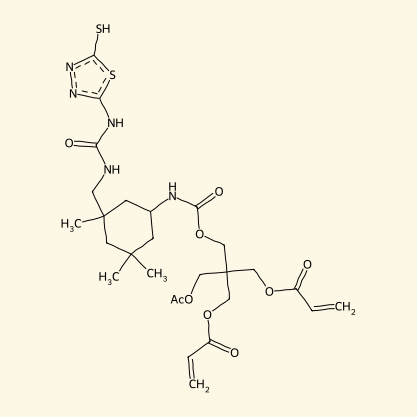 C=CC(=O)OCC(COC(C)=O)(COC(=O)C=C)COC(=O)NC1CC(C)(C)CC(C)(CNC(=O)Nc2nnc(S)s2)C1